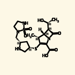 C[C@@H](O)[C@H]1C(=O)N2C(C(=O)O)=C(S[C@@H]3CN[C@H](CN4CCNS4(=O)=O)C3)[C@H](C)[C@H]12